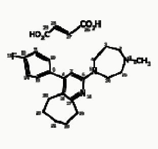 CN1CCCN(c2cc(-c3ccc(F)cc3)c3c(n2)CCCCC3)CC1.O=C(O)C=CC(=O)O